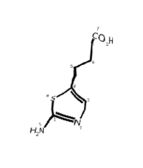 Nc1ncc(CCC(=O)O)s1